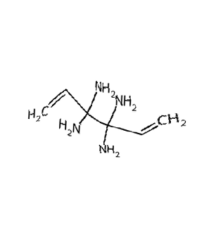 C=CC(N)(N)C(N)(N)C=C